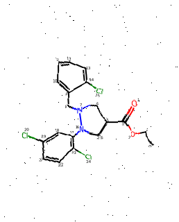 CCOC(=O)C1CN(Cc2ccccc2Cl)N(c2cc(Cl)ccc2Cl)C1